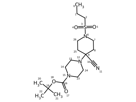 CCCS(=O)(=O)N1CCC(C#N)(N2CCN(C(=O)OC(C)(C)C)CC2)CC1